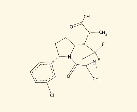 CC(=O)N(C)C([C@H]1CC[C@@H](c2cccc(Cl)c2)N1C(=O)C(C)N)C(F)(F)F